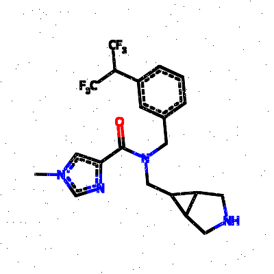 Cn1cnc(C(=O)N(Cc2cccc(C(C(F)(F)F)C(F)(F)F)c2)CC2C3CNCC32)c1